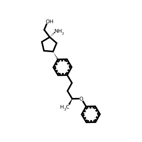 C[C@@H](CCc1ccc([C@@H]2CC[C@@](N)(CO)C2)cc1)Oc1ccccc1